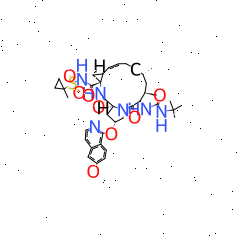 COc1ccc2c(O[C@@H]3C[C@H]4C(=O)N[C@]5(C(=O)NS(=O)(=O)C6(C)CC6)C[C@H]5C=CCC[C@H](C)C[C@@H](C)[C@H](NC(=O)NC(C)(C)C)C(=O)N4C3)nccc2c1